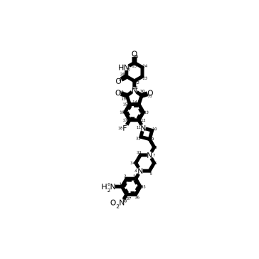 Nc1cc(N2CCN(CC3CN(c4cc5c(cc4F)C(=O)N(C4CCC(=O)NC4=O)C5=O)C3)CC2)ccc1[N+](=O)[O-]